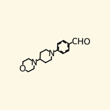 O=Cc1ccc(N2CCC(N3CCOCC3)CC2)cc1